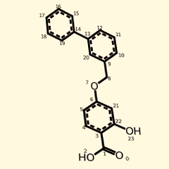 O=C(O)c1ccc(OCc2cccc(-c3ccccc3)c2)cc1O